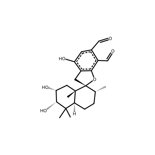 C[C@@H]1CC[C@H]2C(C)(C)[C@H](O)[C@H](O)C[C@]2(C)[C@@]12Cc1c(O)cc(C=O)c(C=O)c1O2